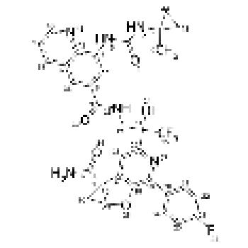 CC1(NC(=O)Nc2cc(C(=O)NCC(O)(c3cc4c(c(-c5ccc(F)cc5)n3)OC3C[C@@]43C(N)=O)C(F)(F)F)cc3cccnc23)CC1